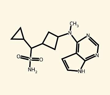 CN(c1ncnc2[nH]ccc12)C1CC(C(C2CC2)S(N)(=O)=O)C1